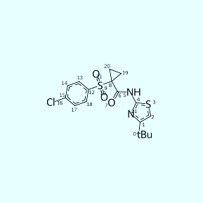 CC(C)(C)c1csc(NC(=O)C2(S(=O)(=O)c3ccc(Cl)cc3)CC2)n1